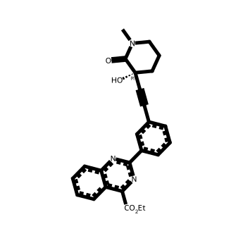 CCOC(=O)c1nc(-c2cccc(C#C[C@]3(O)CCCN(C)C3=O)c2)nc2ccccc12